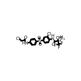 C[C@@](O)(C(=O)Nc1ccc(S(=O)(=O)c2ccc(NC(=O)CCl)cc2)cc1Cl)C(F)(F)F